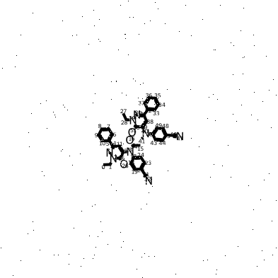 CCn1nc(-c2ccccc2)cc(N(C(C)=O)c2ccc(C#N)cc2)c1=O.CCn1nc(-c2ccccc2)cc(N(C)c2ccc(C#N)cc2)c1=O